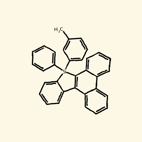 Cc1cccc([Si]2(c3ccccc3)c3ccccc3-c3c2c2ccccc2c2ccccc32)c1